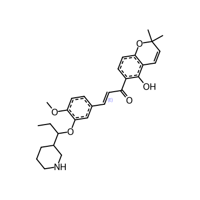 CCC(Oc1cc(/C=C/C(=O)c2ccc3c(c2O)C=CC(C)(C)O3)ccc1OC)C1CCCNC1